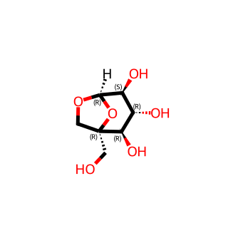 OC[C@]12CO[C@H](O1)[C@@H](O)[C@H](O)[C@H]2O